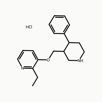 CCc1ncccc1OCC1CNCCC1c1ccccc1.Cl